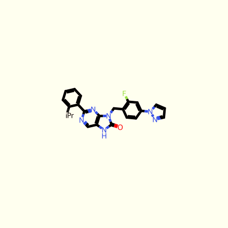 CC(C)c1ccccc1-c1ncc2[nH]c(=O)n(Cc3ccc(-n4cccn4)cc3F)c2n1